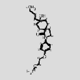 CCCCC1(O)CCC2(CCN(c3ccc(OCCOC)cc3)C2=O)CC1